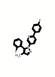 [CH2]c1cnn(-c2ccc(-c3ccc(F)cc3)nc2)c1-c1ccccc1F